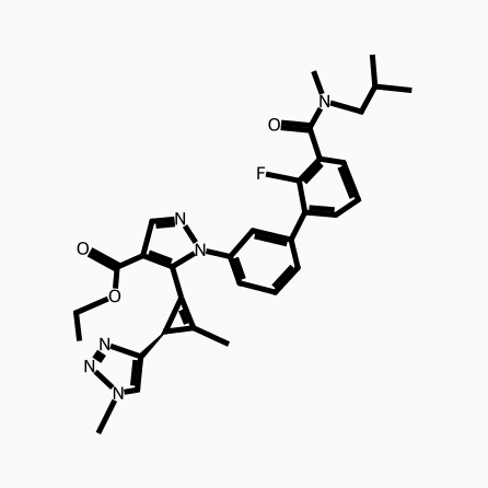 CCOC(=O)c1cnn(-c2cccc(-c3cccc(C(=O)N(C)CC(C)C)c3F)c2)c1C1=C(C)[C@H]1c1cn(C)nn1